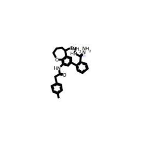 CCC(C)C1CCCOc2c(NC(=O)Cc3ccc(C)cc3)cc(-c3ccccc3/C(=N/N)NN)cc21